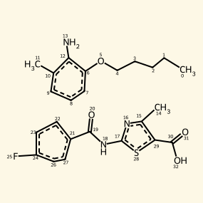 CCCCCOc1cccc(C)c1N.Cc1nc(NC(=O)c2ccc(F)cc2)sc1C(=O)O